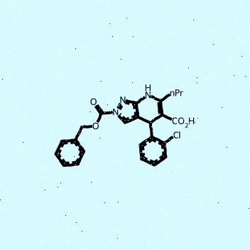 CCCC1=C(C(=O)O)C(c2ccccc2Cl)c2cn(C(=O)OCc3ccccc3)nc2N1